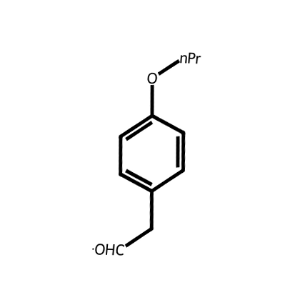 CCCOc1ccc(C[C]=O)cc1